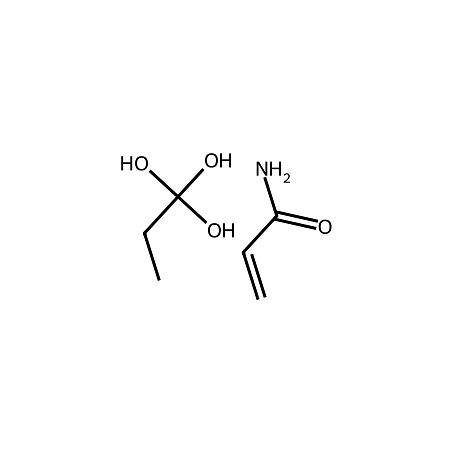 C=CC(N)=O.CCC(O)(O)O